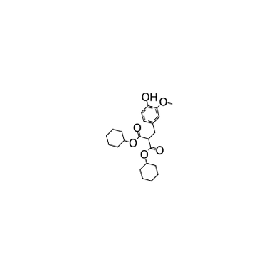 COc1cc(CC(C(=O)OC2CCCCC2)C(=O)OC2CCCCC2)ccc1O